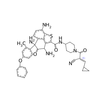 Cc1cc(Oc2ccccc2)ccc1C1(N)C(=O)C(N)c2c(C(=O)NC3CCN(C(=O)/C(C#N)=C/C4CC4)CC3)sc3c(N)ccc1c23